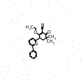 CCOC1=C(C#N)C(=O)C(C)(C)CC1c1cccc(-c2ccccc2)n1